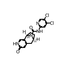 O=C(Nc1cc(Cl)c(Cl)cn1)N1[C@H]2CC[C@@H]1c1c[nH]c(=O)cc1C2